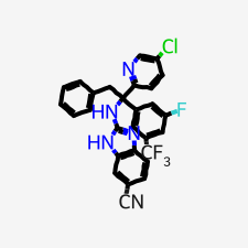 N#Cc1ccc2nc(NC(Cc3ccccc3)(c3cc(F)cc(C(F)(F)F)c3)c3ccc(Cl)cn3)[nH]c2c1